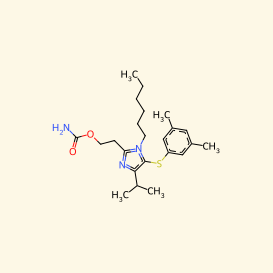 CCCCCCn1c(CCOC(N)=O)nc(C(C)C)c1Sc1cc(C)cc(C)c1